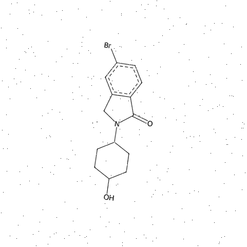 O=C1c2ccc(Br)cc2CN1C1CCC(O)CC1